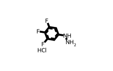 Cl.NNc1cc(F)c(F)c(F)c1